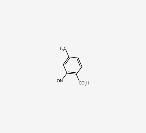 O=Nc1cc(C(F)(F)F)ccc1C(=O)O